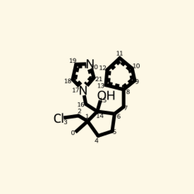 CC1(CCl)CCC(Cc2ccccc2)C1(O)Cn1ccnc1